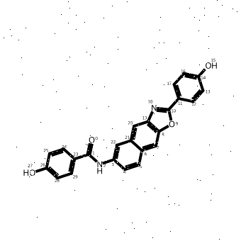 O=C(Nc1ccc2cc3oc(-c4ccc(O)cc4)nc3cc2c1)c1ccc(O)cc1